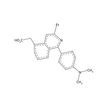 CCc1cc2c(CC(=O)O)cccc2c(-c2ccc(N(C)C)cc2)n1